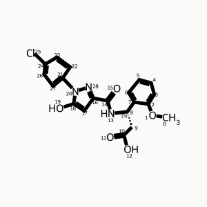 COc1ccccc1[C@H](CC(=O)O)NC(=O)c1cc(O)n(-c2ccc(Cl)cc2)n1